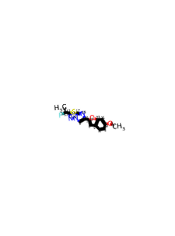 COc1ccc2cc(-c3cn4nc([C@H](C)F)sc4n3)oc2c1